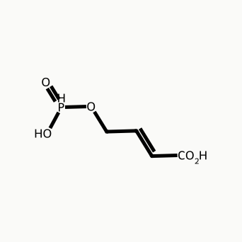 O=C(O)C=CCO[PH](=O)O